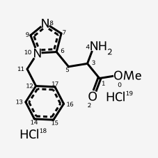 COC(=O)C(N)Cc1cncn1Cc1ccccc1.Cl.Cl